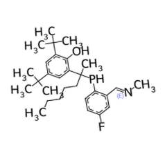 CCCCCC(C)(Pc1ccc(F)cc1/C=N/C)c1cc(C(C)(C)C)cc(C(C)(C)C)c1O